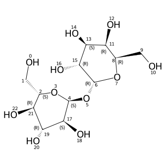 OC[C@@H]1O[C@@H](O[C@H]2O[C@H](CO)[C@H](O)[C@H](O)[C@H]2O)[C@@H](O)[C@H](O)[C@H]1O